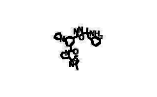 Cc1csc(C2CCCN2C(=O)c2cc(-c3nnc(C(C)(N)Cc4ccccc4)o3)cc(-n3cccc3)c2)n1